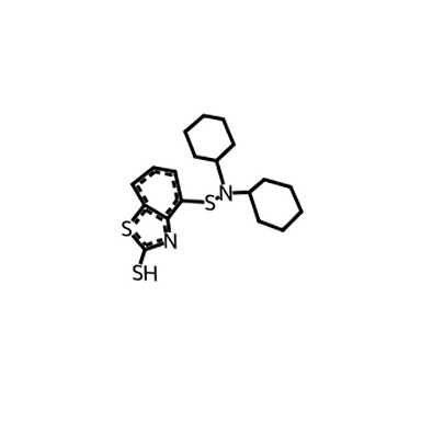 Sc1nc2c(SN(C3CCCCC3)C3CCCCC3)cccc2s1